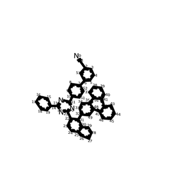 N#Cc1cccc(-c2ccc(-c3nc(-c4ccccc4)nc(-c4ccc5ccccc5c4-c4ccc5c6ccccc6c6ccccc6c5c4)n3)cc2)c1